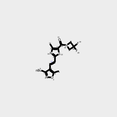 CCCCc1noc(C)c1/C=C/c1nc(C)c(C(=O)N2CC(F)(F)C2)s1